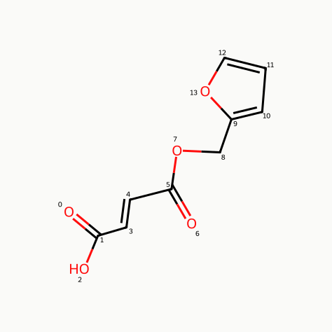 O=C(O)/C=C/C(=O)OCc1ccco1